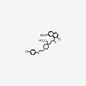 COc1ccc2ncc(Cl)c(C(F)CCC3(CC(=O)O)CCN(CCSc4ccc(Cl)cc4)CC3)c2c1